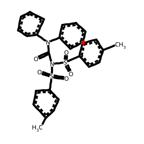 Cc1ccc(S(=O)(=O)N(C(=O)N(c2ccccc2)c2ccccc2)S(=O)(=O)c2ccc(C)cc2)cc1